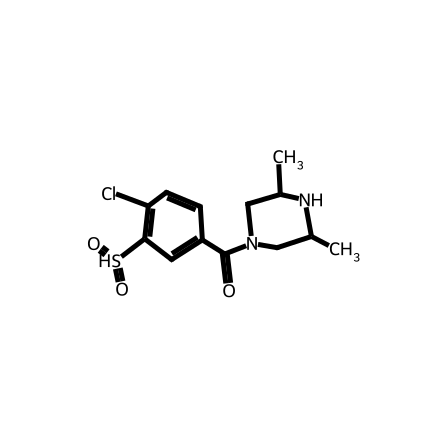 CC1CN(C(=O)c2ccc(Cl)c([SH](=O)=O)c2)CC(C)N1